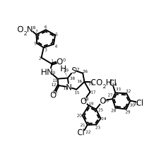 O=C(Cc1cccc([N+](=O)[O-])c1)NC1C(=O)N2CC(COc3cc(Cl)ccc3Oc3ccc(Cl)cc3Cl)(C(=O)O)CS[C@H]12